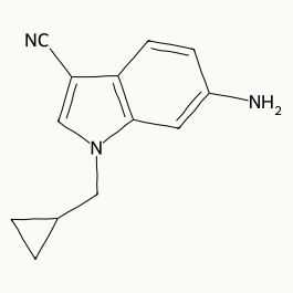 N#Cc1cn(CC2CC2)c2cc(N)ccc12